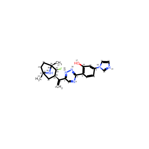 C=C(c1cnc(-c2ccc(-n3ccnc3)cc2O)nn1)[C@H]1C[C@]2(C)CC[C@@](C)(N2)[C@H]1F